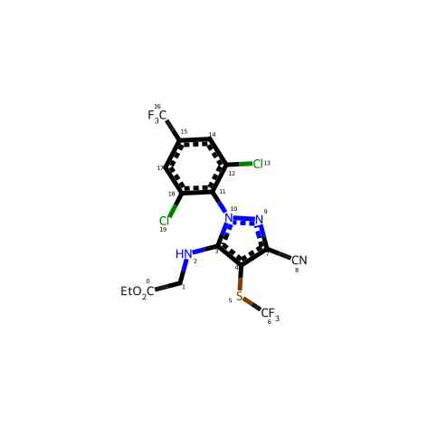 CCOC(=O)CNc1c(SC(F)(F)F)c(C#N)nn1-c1c(Cl)cc(C(F)(F)F)cc1Cl